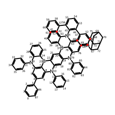 c1ccc(-c2cc3c4c(c2)N(c2ccccc2)c2cc5c(cc2B4c2ccccc2N3c2ccccc2)B2c3ccccc3N(c3c(-c4ccccc4)cccc3-c3ccccc3)c3cc(N4C6CC7CC(C6)CC4C7)cc(c32)N5c2ccccc2)cc1